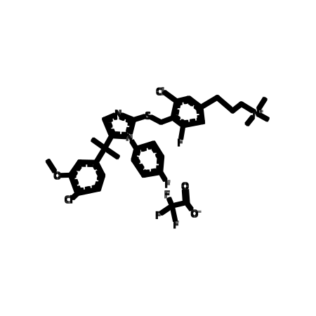 COc1cc(C(C)(C)c2cnc(SCc3c(F)cc(CCC[N+](C)(C)C)cc3Cl)n2-c2ccc(F)cc2)ccc1Cl.O=C([O-])C(F)(F)F